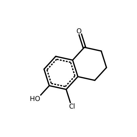 O=C1CCCc2c1ccc(O)c2Cl